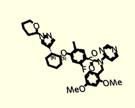 COc1ccc(CN(c2ccncn2)S(=O)(=O)c2cc(C)c(O[C@H]3CCCC[C@@H]3c3cnn(C4CCCCO4)c3)cc2F)c(OC)c1